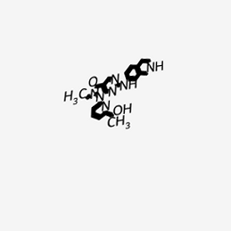 CCn1c(=O)c2cnc(Nc3ccc4c(c3)CNCC4)nc2n1-c1cccc(C(C)O)n1